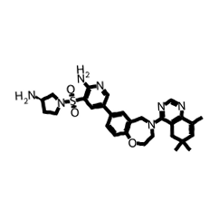 CC1=CC(C)(C)Cc2c1ncnc2N1CCOc2ccc(-c3cnc(N)c(S(=O)(=O)N4CC[C@@H](N)C4)c3)cc2C1